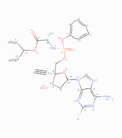 C#C[C@]1(CO[P@@](=O)(N[C@@H](C)C(=O)OC(CCCCCCC)CCCCCCC)Oc2ccccc2)O[C@@H](n2cnc3c(N)nc(F)nc32)C[C@@H]1O